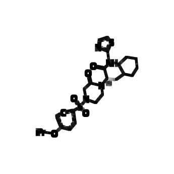 CC(C)Oc1ccc(S(=O)(=O)N2CCN([C@@H](CC3CCCCC3)C(=O)Nc3nccs3)C(=O)C2)cc1